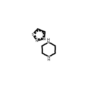 C1CNCCN1.c1csnn1